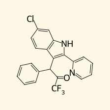 O=C(C(c1ccccc1)c1c(-c2ccccn2)[nH]c2cc(Cl)ccc12)C(F)(F)F